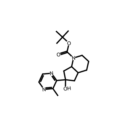 Cc1nccnc1C1(O)CC2CCCN(C(=O)OC(C)(C)C)C2C1